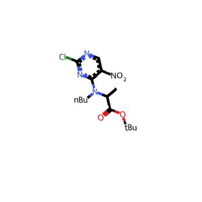 CCCCN(c1nc(Cl)ncc1[N+](=O)[O-])C(C)C(=O)OC(C)(C)C